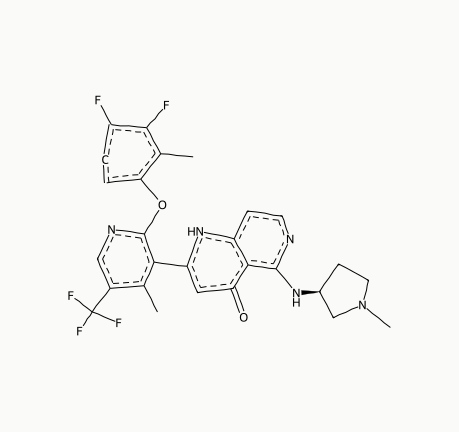 Cc1c(Oc2ncc(C(F)(F)F)c(C)c2-c2cc(=O)c3c(N[C@H]4CCN(C)C4)nccc3[nH]2)ccc(F)c1F